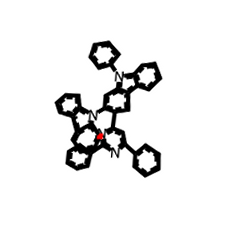 c1ccc(-c2cc(-c3cc4c5ccccc5n(-c5ccccc5)c4cc3-n3c4ccccc4c4ccccc43)nc(-c3ccccc3)n2)cc1